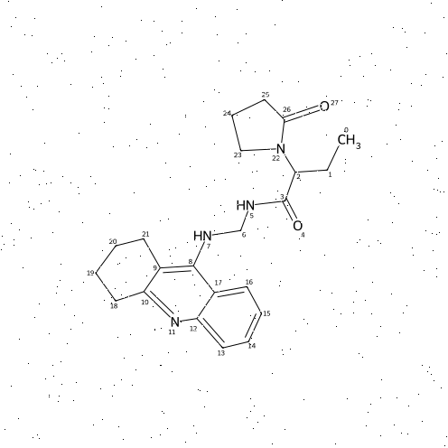 CCC(C(=O)NCNc1c2c(nc3ccccc13)CCCC2)N1CCCC1=O